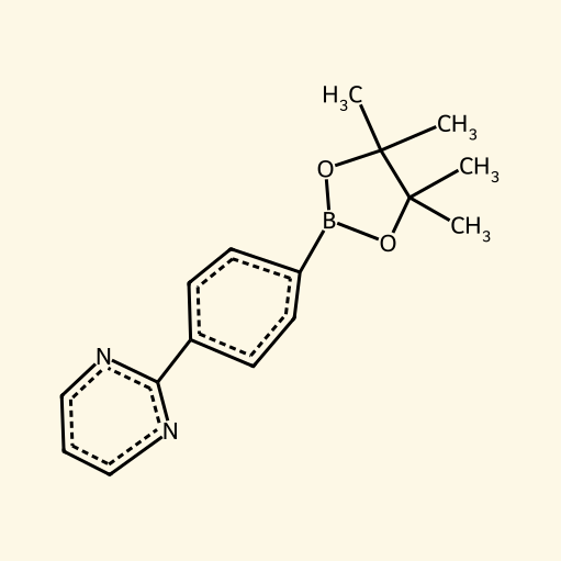 CC1(C)OB(c2ccc(-c3ncccn3)cc2)OC1(C)C